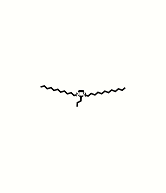 CCCCCCCCCCCCN1C=CN(CCCCCCCCCCC)C1CCC